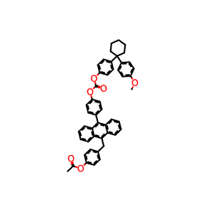 COc1ccc(C2(c3ccc(OC(=O)Oc4ccc(-c5c6ccccc6c(Cc6ccc(OC(C)=O)cc6)c6ccccc56)cc4)cc3)CCCCC2)cc1